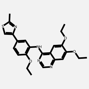 CCOc1ccc(-c2csc(C)n2)cc1Nc1ncnc2cc(OCC)c(OCC)cc12